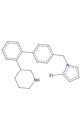 CCc1cccn1Cc1ccc(-c2ccccc2C2CCCNC2)cc1